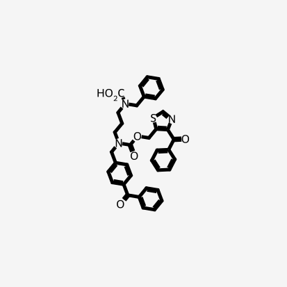 O=C(c1ccccc1)c1ccc(CN(CCCN(Cc2ccccc2)C(=O)O)C(=O)OCc2scnc2C(=O)c2ccccc2)cc1